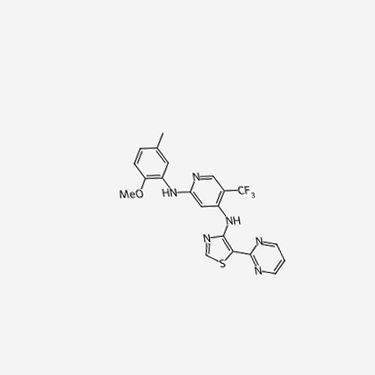 COc1ccc(C)cc1Nc1cc(Nc2ncsc2-c2ncccn2)c(C(F)(F)F)cn1